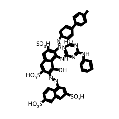 Cc1ccc(-c2ccc(/N=N/c3c(S(=O)(=O)O)cc4cc(S(=O)(=O)O)c(/N=N/c5cc(S(=O)(=O)O)cc6cc(S(=O)(=O)O)ccc56)c(O)c4c3Nc3nc(O)nc(Nc4ccccc4)n3)cc2)cc1